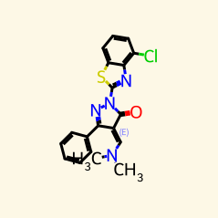 CN(C)/C=C1/C(=O)N(c2nc3c(Cl)cccc3s2)N=C1c1ccccc1